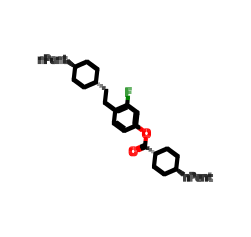 CCCCC[C@H]1CC[C@H](CCc2ccc(OC(=O)[C@H]3CC[C@H](CCCCC)CC3)cc2F)CC1